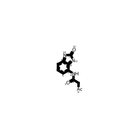 CC(=O)CC(=O)Nc1cccc2c1=NC(=O)N=2